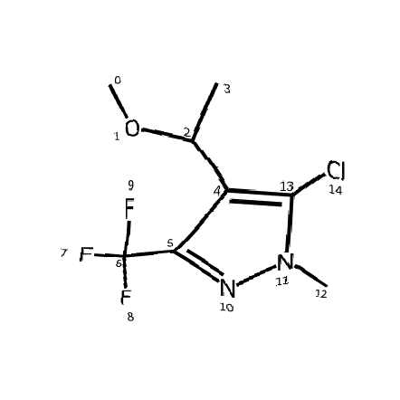 COC(C)c1c(C(F)(F)F)nn(C)c1Cl